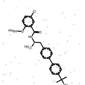 CCCCCCCOc1ccc(Cl)cc1C(=O)N[C@@H](Cc1ccc(-c2ccc(C(C)(C)N)cc2)cc1)C(=O)O